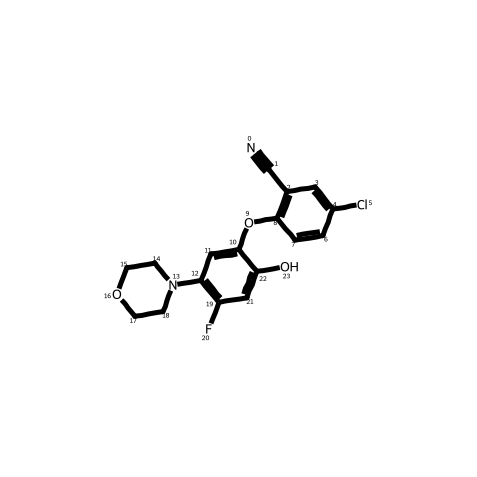 N#Cc1cc(Cl)ccc1Oc1cc(N2CCOCC2)c(F)cc1O